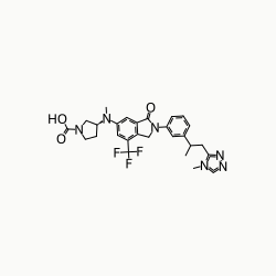 CC(Cc1nncn1C)c1cccc(N2Cc3c(cc(N(C)[C@H]4CCN(C(=O)O)C4)cc3C(F)(F)F)C2=O)c1